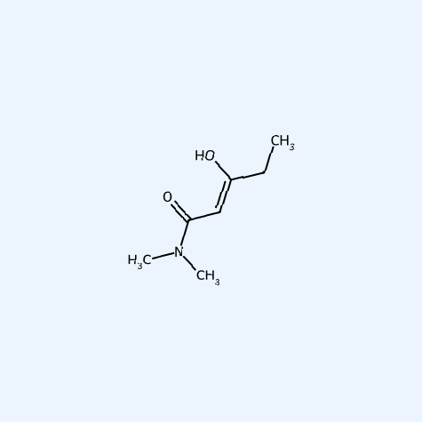 CC/C(O)=C/C(=O)N(C)C